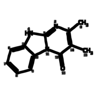 Cc1nc2[nH]c3ccccc3n2c(=O)c1C